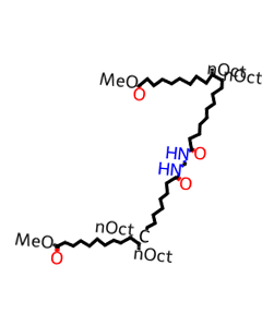 CCCCCCCCC(CCCCCCCCC(=O)NCNC(=O)CCCCCCCCC(CCCCCCCC)C(CCCCCCCC)CCCCCCCCC(=O)OC)C(CCCCCCCC)CCCCCCCCC(=O)OC